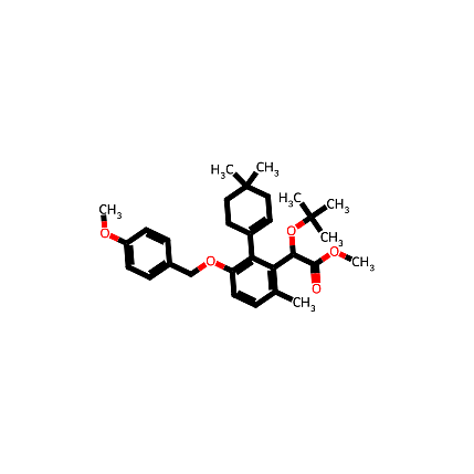 COC(=O)C(OC(C)(C)C)c1c(C)ccc(OCc2ccc(OC)cc2)c1C1=CCC(C)(C)CC1